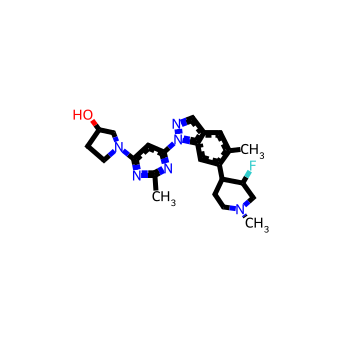 Cc1nc(N2CCC(O)C2)cc(-n2ncc3cc(C)c(C4CCN(C)CC4F)cc32)n1